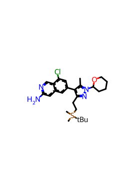 Cc1c(-c2cc(Cl)c3cnc(N)cc3c2)c(CCS(C)(C)C(C)(C)C)nn1C1CCCCO1